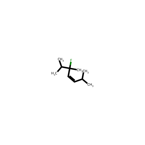 CC(C)/C=C\C(C)(F)C(C)C